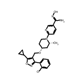 C[C@@H]1C[C@H](OCc2c(-c3ccccc3Cl)noc2C2CC2)CCN1c1ccc(/C(N)=N/O)cn1